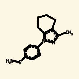 Cc1nn(-c2ccc(SN)cc2)c2c1CCCC2